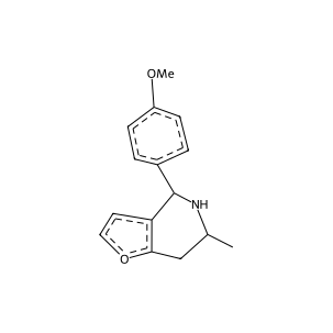 COc1ccc(C2NC(C)Cc3occc32)cc1